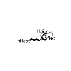 CCCCCCCCCCC[C@H](C[C]=O)O[Si](C)(C)C